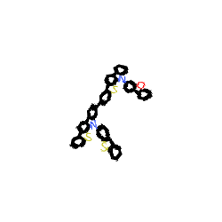 c1ccc2c(c1)oc1cc(-n3c4ccccc4c4ccc5c6cc(-c7ccc8c9ccc%10c%11ccccc%11sc%10c9n(-c9ccc%10c(c9)sc9ccccc9%10)c8c7)ccc6sc5c43)ccc12